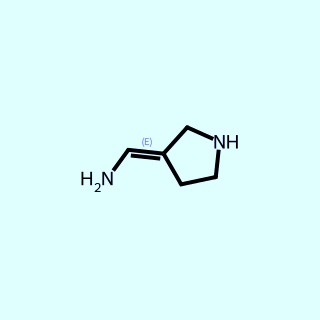 N/C=C1\CCNC1